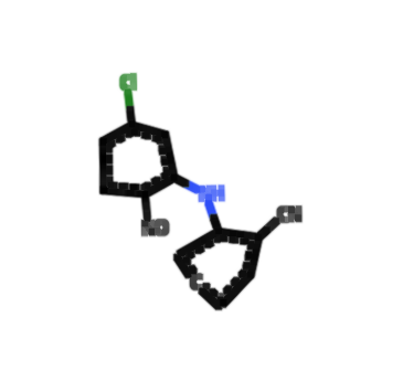 N#Cc1ccccc1Nc1cc(Cl)ccc1N=O